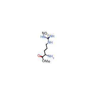 COC(=O)C(N)CCCNC(=N)N[N+](=O)[O-]